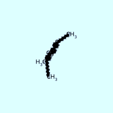 CCCCCCCCC[C@@H](C)c1ccc(C(=O)Oc2ccc(-c3ccc(OCCCCCCCC)cc3)cc2)cc1